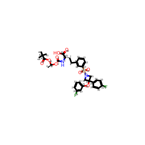 C[C@H](OC(=O)N[C@@H](CCc1cccc(S(=O)(=O)N2CC(Oc3cccc(F)c3)(c3ccc(F)cc3)C2)c1)C(=O)O)OC(=O)C(C)(C)C